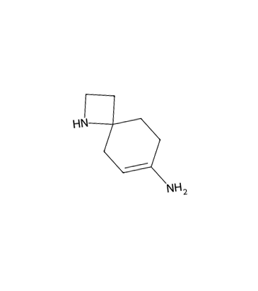 NC1=CCC2(CCN2)CC1